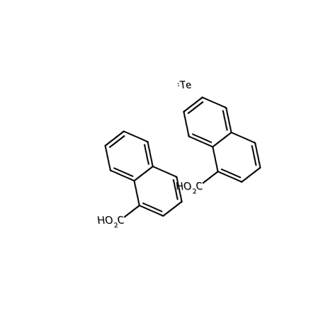 O=C(O)c1cccc2ccccc12.O=C(O)c1cccc2ccccc12.[Te]